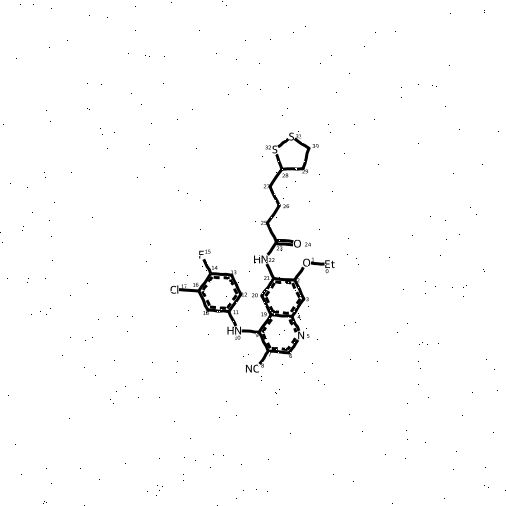 CCOc1cc2ncc(C#N)c(Nc3ccc(F)c(Cl)c3)c2cc1NC(=O)CCCC1CCSS1